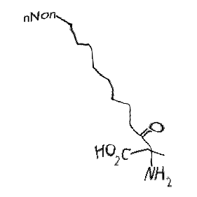 CCCCCCCCCCCCCCCCCC(=O)C(C)(N)C(=O)O